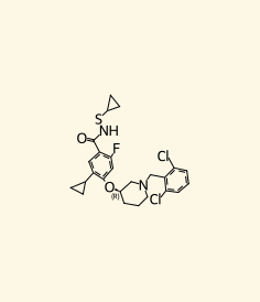 O=C(NSC1CC1)c1cc(C2CC2)c(O[C@@H]2CCCN(Cc3c(Cl)cccc3Cl)C2)cc1F